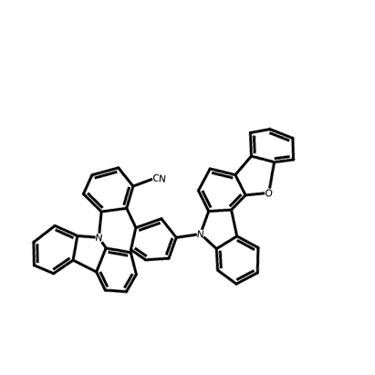 N#Cc1cccc(-n2c3ccccc3c3ccccc32)c1-c1cccc(-n2c3ccccc3c3c4oc5ccccc5c4ccc32)c1